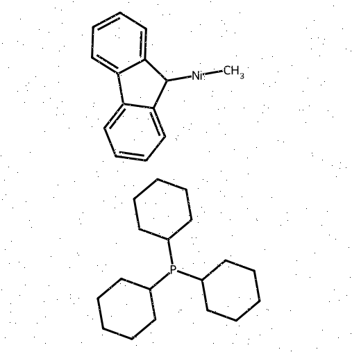 C1CCC(P(C2CCCCC2)C2CCCCC2)CC1.[CH3][Ni][CH]1c2ccccc2-c2ccccc21